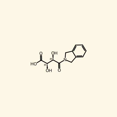 O=C(O)[C@H](O)[C@@H](O)C(=O)N1Cc2ccccc2C1